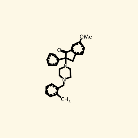 COc1ccc2c(c1)C(=O)C(c1ccccc1)(N1CCN(Cc3ccccc3C)CC1)C2